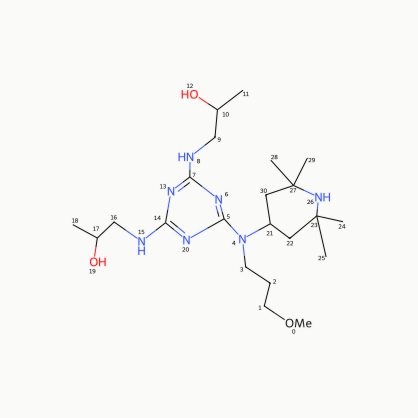 COCCCN(c1nc(NCC(C)O)nc(NCC(C)O)n1)C1CC(C)(C)NC(C)(C)C1